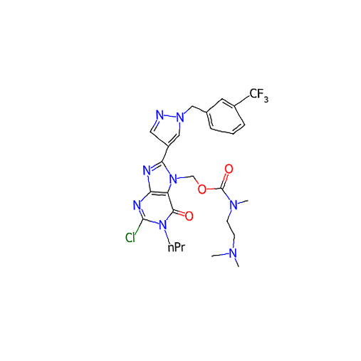 CCCn1c(Cl)nc2nc(-c3cnn(Cc4cccc(C(F)(F)F)c4)c3)n(COC(=O)N(C)CCN(C)C)c2c1=O